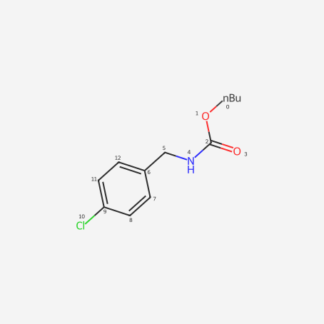 CCCCOC(=O)NCc1ccc(Cl)cc1